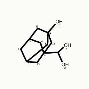 OC(O)C12CC3CC(CC(O)(C3)C1)C2